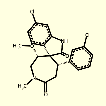 CO[C@H]1CN(C)C(=O)C[C@@H](c2cccc(Cl)c2)[C@]12C(=O)Nc1cc(Cl)ccc12